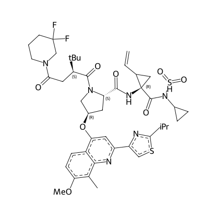 C=CC1C[C@]1(NC(=O)[C@@H]1C[C@@H](Oc2cc(-c3csc(C(C)C)n3)nc3c(C)c(OC)ccc23)CN1C(=O)[C@@H](CC(=O)N1CCCC(F)(F)C1)C(C)(C)C)C(=O)N(C1CC1)[SH](=O)=O